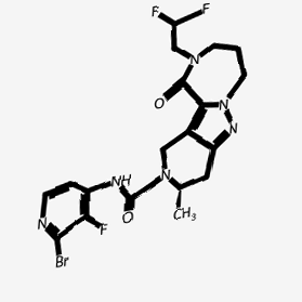 C[C@@H]1Cc2nn3c(c2CN1C(=O)Nc1ccnc(Br)c1F)C(=O)N(CC(F)F)CCC3